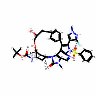 Cn1cc(-c2c3c4c(ncc5c4n(c(=O)n5C)[C@H]4C[C@H](NC(=O)OC(C)(C)C)[C@@H](C4)OCC(O)Cc4ccc-3cc4)n2S(=O)(=O)c2ccccc2)c(F)n1